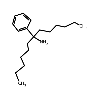 CCCCCCC(N)(CCCCCC)c1ccccc1